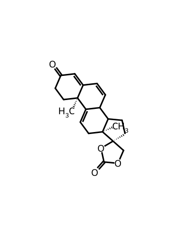 C[C@]12CCC(=O)C=C1C=CC1C2=CC[C@@]2(C)C1CC[C@@]21COC(=O)O1